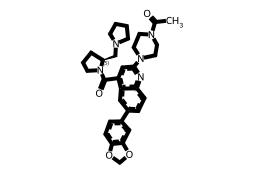 CC(=O)N1CCN(c2cc(C(=O)N3CCC[C@H]3CN3CCCC3)c3cc(-c4ccc5c(c4)OCO5)ccc3n2)CC1